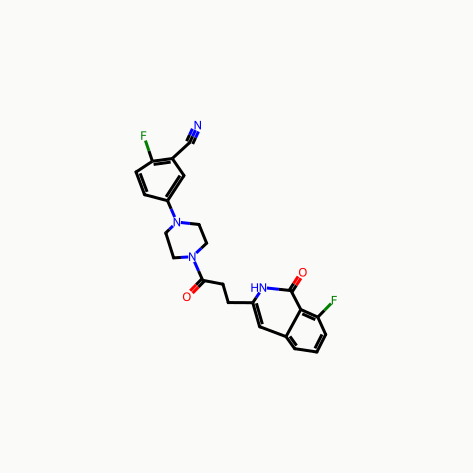 N#Cc1cc(N2CCN(C(=O)CCc3cc4cccc(F)c4c(=O)[nH]3)CC2)ccc1F